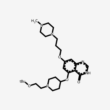 CN1CCN(CCCOc2cc(OC3CCN(CCOC(C)(C)C)CC3)c3c(=O)[nH]cnc3c2)CC1